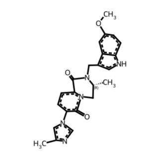 COc1ccc2[nH]cc(CN3C(=O)c4ccc(-n5cnc(C)c5)c(=O)n4C[C@H]3C)c2c1